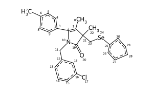 CC1=C(c2ccc(C)cc2)N(Cc2cccc(Cl)c2)C(=O)C1(C)C[Se]c1ccccc1